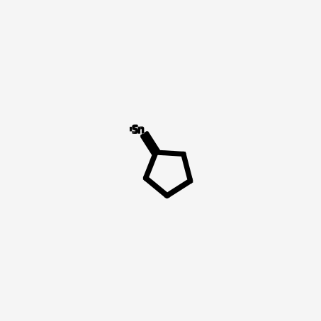 [Sn]=[C]1CCCC1